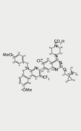 COc1ccc(CN(Cc2ccc(OC)cc2)c2ccc(C(F)(F)F)c(-c3cc4nc(OCC5(N(C)C)CC5)nc(N5CCN(C(=O)O)CC5)c4cc3Cl)n2)cc1